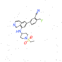 CCS(=O)(=O)N1CCC(Nc2cc(-c3ccc(CF)c(C#N)c3)cc3ccncc23)CC1